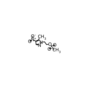 Cc1c([N+](=O)[O-])cnn1CCOS(C)(=O)=O